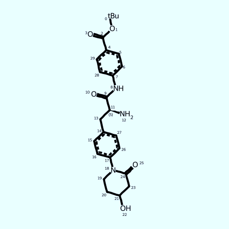 CC(C)(C)OC(=O)c1ccc(NC(=O)[C@@H](N)Cc2ccc(N3CCC(O)CC3=O)cc2)cc1